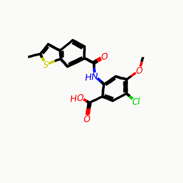 COc1cc(NC(=O)c2ccc3cc(C)sc3c2)c(C(=O)O)cc1Cl